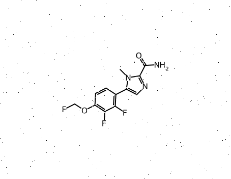 Cn1c(-c2ccc(OCF)c(F)c2F)cnc1C(N)=O